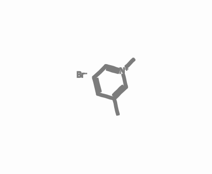 Cc1ccc[n+](C)c1.[Br-]